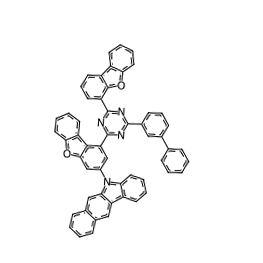 c1ccc(-c2cccc(-c3nc(-c4cccc5c4oc4ccccc45)nc(-c4cc(-n5c6ccccc6c6cc7ccccc7cc65)cc5oc6ccccc6c45)n3)c2)cc1